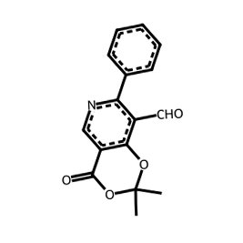 CC1(C)OC(=O)c2cnc(-c3ccccc3)c(C=O)c2O1